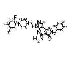 Cc1cc(F)c(N2CCN(CCn3ncc4c3nc(N)n3c(=O)n(Cc5ccccc5)nc43)CC2)cc1C